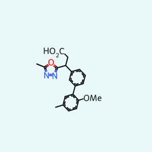 COc1ccc(C)cc1-c1cccc(C(CC(=O)O)c2nnc(C)o2)c1